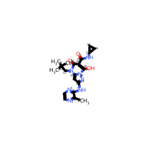 Cc1nccnc1Nc1cc2n(CC(C)(C)C)c(=O)c(C(=O)NC3CC3)c(O)n2n1